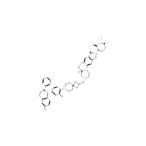 O=C1CC[C@H](N2Cc3cc4c(cc3C2=O)OC[C@@H]2CN(CC3CC5(CCN(c6ccc([C@H]7c8ccc(O)cc8CC[C@H]7c7ccccc7)cc6F)CC5)C3)CCN42)C(=O)N1